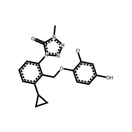 Cn1nnn(-c2cccc(C3CC3)c2COc2ccc(O)cc2Cl)c1=O